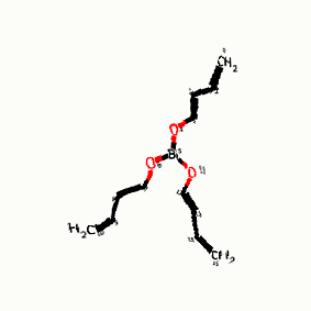 C=CC=C[O][Bi]([O]C=CC=C)[O]C=CC=C